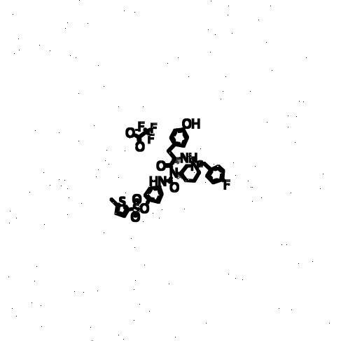 Cc1ccc(S(=O)(=O)Oc2ccc(NC(=O)N(C(=O)[C@@H](N)Cc3ccc(O)cc3)[C@H]3CCC[N+](C)(Cc4ccc(F)cc4)C3)cc2)s1.O=C([O-])C(F)(F)F